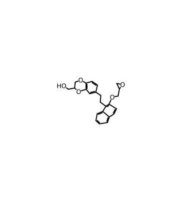 OCC1COc2ccc(CCc3c(OCC4CO4)ccc4ccccc34)cc2O1